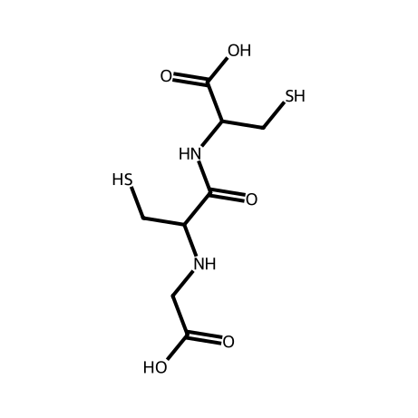 O=C(O)CNC(CS)C(=O)NC(CS)C(=O)O